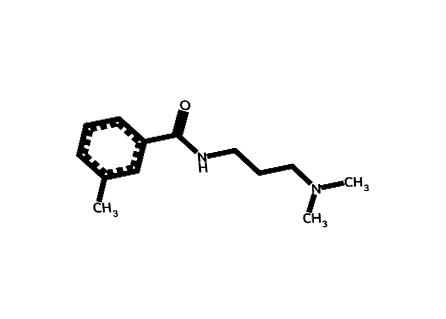 Cc1cccc(C(=O)NCCCN(C)C)c1